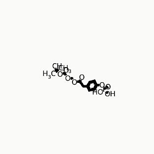 CC(C)(C)OC(=O)OCOC(=O)Cc1ccc(OP(=O)(O)O)cc1